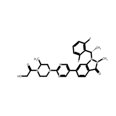 CC1CN(c2ncc(-c3ccc4c(=O)n(C)n([C@@H](C)c5c(F)cccc5F)c4c3)cn2)CCN1C(=O)CO